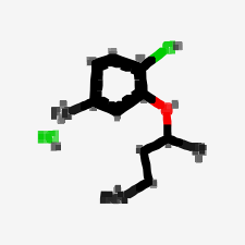 CCC(CCNC)Oc1cc(C(F)(F)F)ccc1Cl.Cl